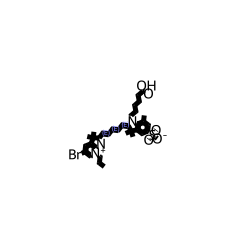 CCC[n+]1cc(Br)cc2c1N=C(/C=C/C=C/C=C1/N(CCCCCC(=O)O)c3c(C)cc(S(=O)(=O)[O-])cc3C1(C)C)C2(C)C